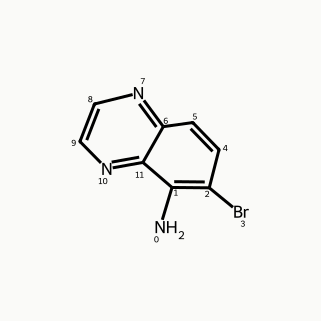 Nc1c(Br)ccc2nccnc12